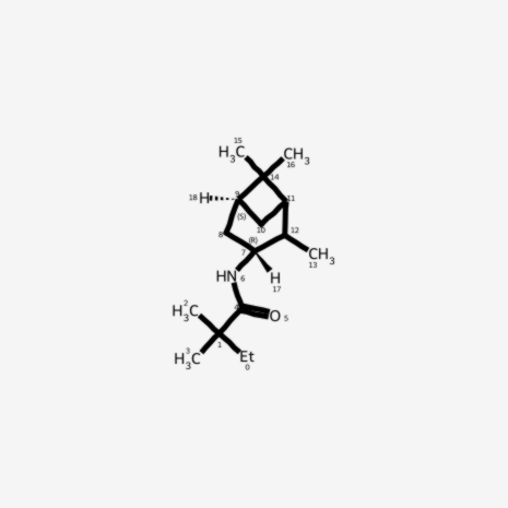 CCC(C)(C)C(=O)N[C@@H]1C[C@@H]2CC(C1C)C2(C)C